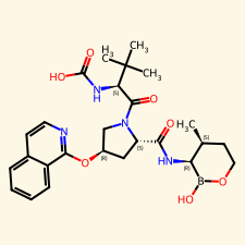 C[C@H]1CCOB(O)[C@H]1NC(=O)[C@@H]1C[C@@H](Oc2nccc3ccccc23)CN1C(=O)[C@@H](NC(=O)O)C(C)(C)C